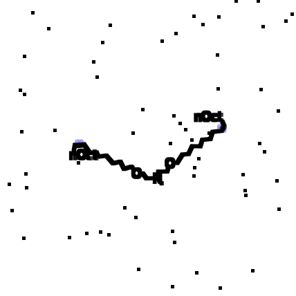 CCCCCCCC/C=C\CCCCCCCCOCCN(C)CCOCCCCCCCC/C=C\CCCCCCCC